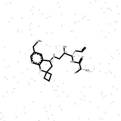 C=CC[C@H](NC(=O)[C@@H](F)C(F)(F)F)[C@H](O)CN[C@H]1CC2(CCC2)Oc2ncc(CC(C)(C)C)cc21